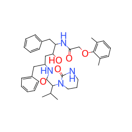 Cc1cccc(C)c1OCC(=O)NC(Cc1ccccc1)C(O)CC(Cc1ccccc1)NC(=O)C(C(C)C)N1CCCNC1=O